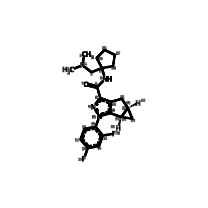 CN(C)CC1(NC(=O)c2nn(-c3ccc(F)cc3F)c3c2C[C@H]2C[C@@H]32)CCCC1